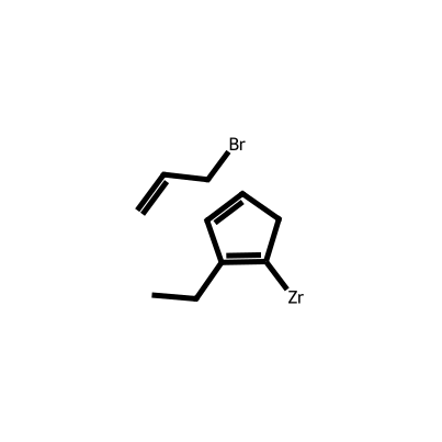 C=CCBr.CCC1=[C]([Zr])CC=C1